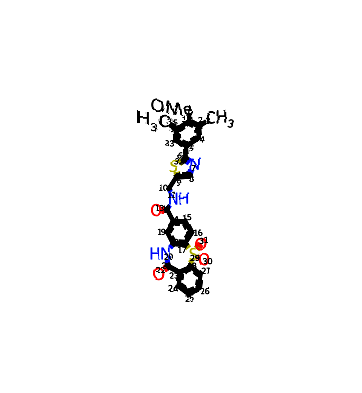 COc1c(C)cc(-c2ncc(CNC(=O)c3ccc4c(c3)NC(=O)c3ccccc3S4(=O)=O)s2)cc1C